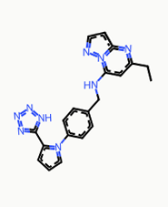 CCc1cc(NCc2ccc(-n3cccc3-c3nnn[nH]3)cc2)n2nccc2n1